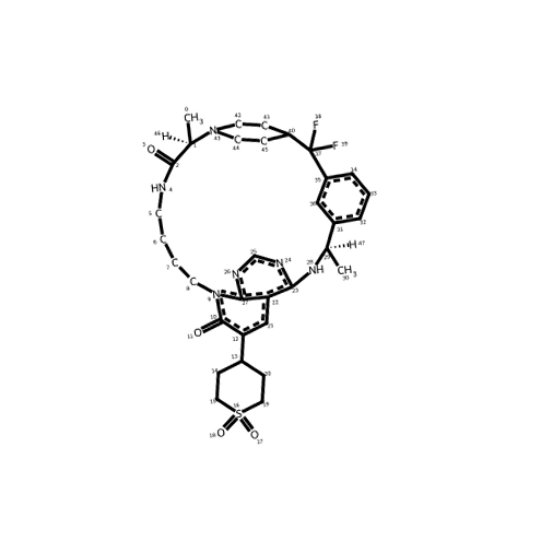 C[C@@H]1C(=O)NCCCCn2c(=O)c(C3CCS(=O)(=O)CC3)cc3c(ncnc32)N[C@H](C)c2cccc(c2)C(F)(F)C2CCN1CC2